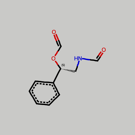 O=CNC[C@@H](OC=O)c1ccccc1